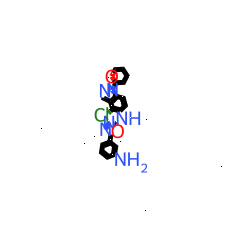 Nc1cccc(-c2nnc(Nc3ccc4c(cnn4C4CCCCO4)c3Cl)o2)c1